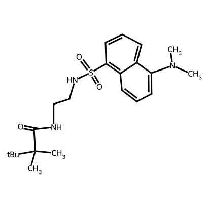 CN(C)c1cccc2c(S(=O)(=O)NCCNC(=O)C(C)(C)C(C)(C)C)cccc12